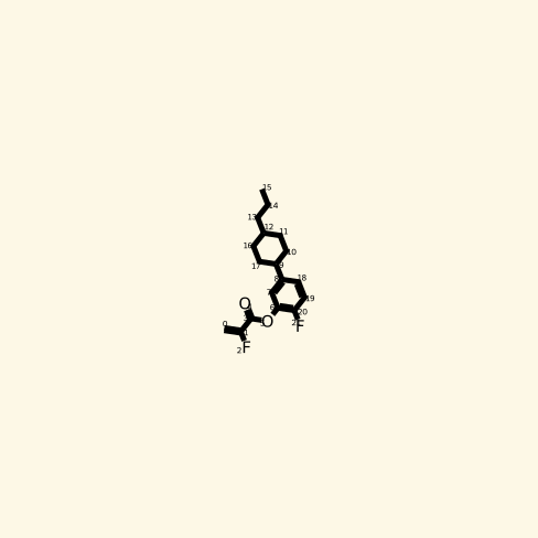 C=C(F)C(=O)Oc1cc(C2CCC(CCC)CC2)ccc1F